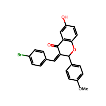 COc1ccc(C2Oc3ccc(O)cc3C(=O)C2=Cc2ccc(Br)cc2)cc1